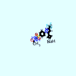 CC(=O)NNS(=O)(=O)c1ccc(-n2nc(C(F)(F)F)cc2C2CCC2)cc1.[NaH]